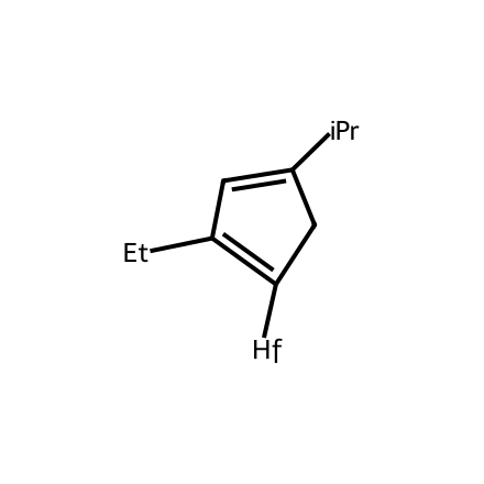 CCC1=[C]([Hf])CC(C(C)C)=C1